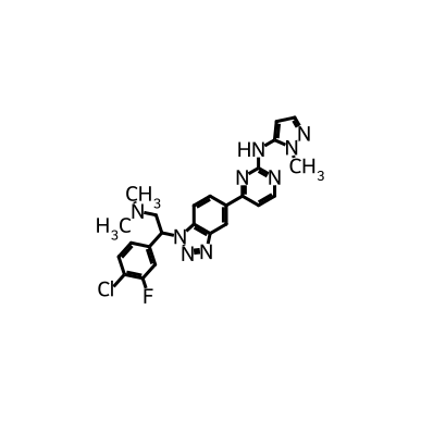 CN(C)CC(c1ccc(Cl)c(F)c1)n1nnc2cc(-c3ccnc(Nc4ccnn4C)n3)ccc21